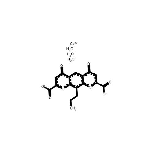 CCCc1c2oc(C(=O)[O-])cc(=O)c2cc2c(=O)cc(C(=O)[O-])oc12.O.O.O.[Ca+2]